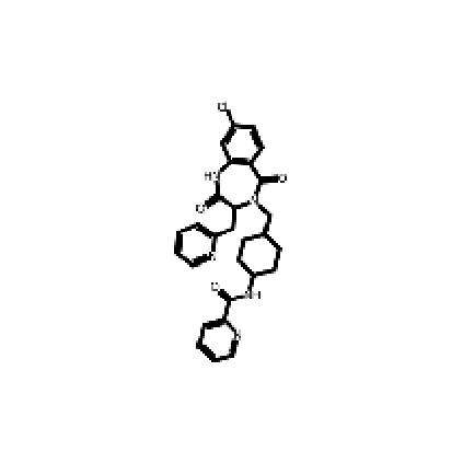 O=C(NC1CCC(CN2C(=O)c3ccc(Cl)cc3NC(=O)C2Cc2ccccn2)CC1)c1ccccn1